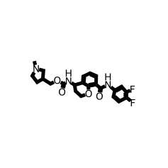 CN1CCC(COC(=O)NC2CCOc3c(C(=O)Nc4ccc(F)c(F)c4)cccc32)C1